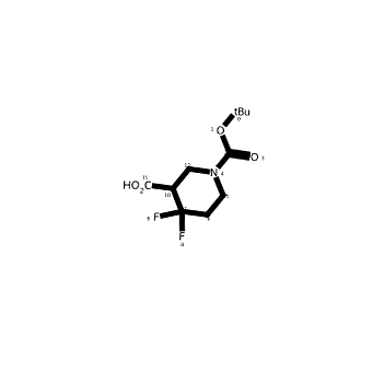 CC(C)(C)OC(=O)N1CCC(F)(F)C(C(=O)O)C1